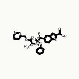 C[C@H](NP(=O)(Oc1ccccc1)[C@@H](F)c1ccc2sc(C(=O)O)cc2c1)C(=O)OCc1cccnn1